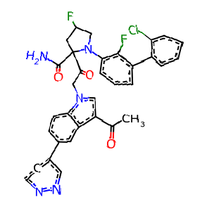 CC(=O)c1cn(CC(=O)C2(C(N)=O)CC(F)CN2c2cccc(-c3ccccc3Cl)c2F)c2ccc(-c3ccnnc3)cc12